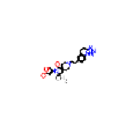 C[C@H]1CC2(CCN(CCc3ccc4c(c3)CCc3nnnn3-4)CC2)C(=O)N1C1=CC(=O)OC1